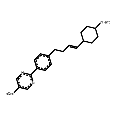 CCCCCCCCCCc1cnc(-c2ccc(CCC=CC3CCC(CCCCC)CC3)cc2)nc1